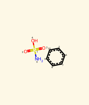 NS(=O)(=O)O.c1ccccc1